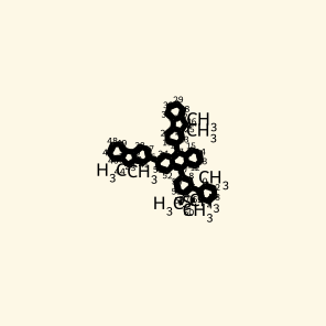 Cc1ccccc1-c1cc(-c2c3ccccc3c(-c3ccc4c(c3)C(C)(C)c3ccccc3-4)c3cc(-c4ccc5c(c4)C(C)(C)c4ccccc4-5)ccc23)ccc1S(C)(C)C